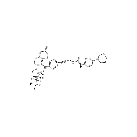 C[C@]12C[C@H](c3ccc(C#CCOC(=O)Nc4ccc(N5CCCCC5)cc4)cc3)C3=C4CCC(=O)C=C4CCC3C1CC[C@@]2(O)C(F)(F)C(F)(F)F